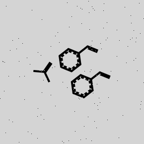 C=C(C)C.C=Cc1ccccc1.C=Cc1ccccc1